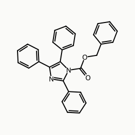 O=C(OCc1ccccc1)n1c(-c2ccccc2)nc(-c2ccccc2)c1-c1ccccc1